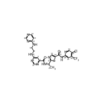 CC(NC(=O)c1cc(NCCNc2ccncn2)ncn1)c1ncc(C(=O)Nc2cc(C(F)(F)F)c(Cl)cn2)s1